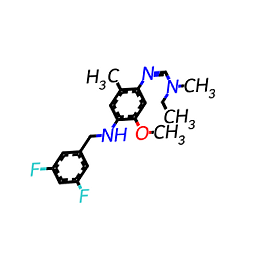 CCN(C)/C=N\c1cc(OC)c(NCc2cc(F)cc(F)c2)cc1C